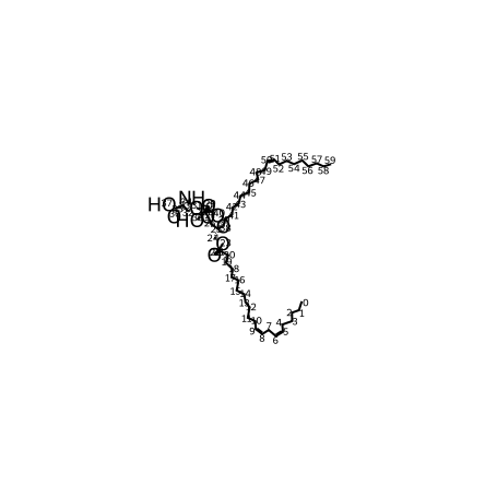 CCCCC/C=C\C/C=C\CCCCCCCCCCCC(=O)OC[C@H](COP(=O)(O)OC[C@H](N)C(=O)O)OC(=O)CCCCCCCCC/C=C\CCCCCCCC